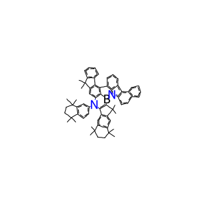 CC1(C)CCC(C)(C)c2cc(N3C4=C(B5c6c3cc3c(c6-c6cccc7c8c9ccccc9ccc8n5c67)-c5ccccc5C3(C)C)C(C)(C)c3cc5c(cc34)C(C)(C)CCC5(C)C)ccc21